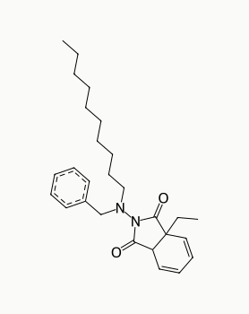 CCCCCCCCCCN(Cc1ccccc1)N1C(=O)C2C=CC=CC2(CC)C1=O